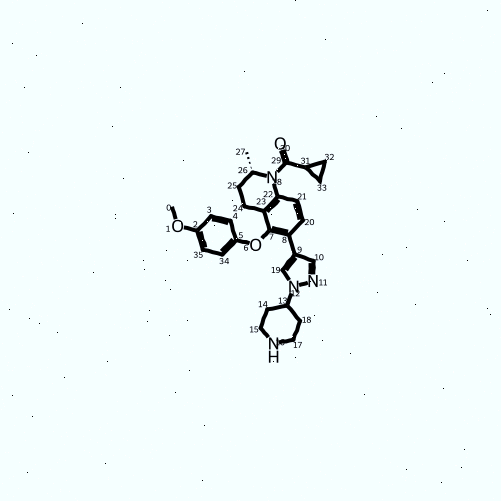 COc1ccc(Oc2c(-c3cnn(C4CCNCC4)c3)ccc3c2CC[C@H](C)N3C(=O)C2CC2)cc1